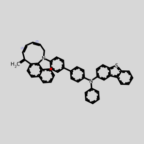 C=C1/C=C\C=C/CN(c2ccc(-c3ccc(N(c4ccccc4)c4ccc5sc6ccccc6c5c4)cc3)cc2)c2c1ccc1ccccc21